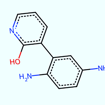 Nc1ccc(N)c(-c2cccnc2O)c1